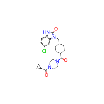 O=C(C1CCC(Cn2c(=O)[nH]c3ccc(Cl)cc32)CC1)N1CCN(C(=O)C2CC2)CC1